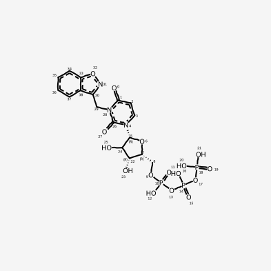 O=c1ccn([C@@H]2O[C@H](COP(=O)(O)OP(=O)(O)OP(=O)(O)O)[C@H](O)C2O)c(=O)n1Cc1noc2ccccc12